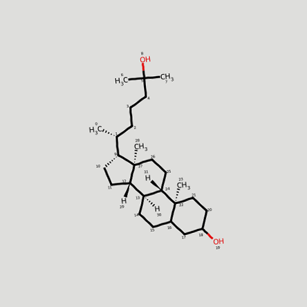 C[C@H](CCCC(C)(C)O)[C@H]1CC[C@H]2[C@@H]3CCC4CC(O)CC[C@]4(C)[C@H]3CC[C@]12C